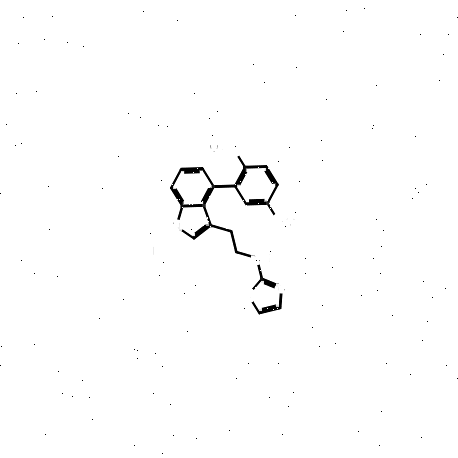 Br.COc1ccc(OC)c(-c2cccc3[nH]cc(CCNc4nccs4)c23)c1